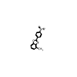 Cc1cccc2oc(-c3ccc([N+](=O)[O-])cc3)nc12